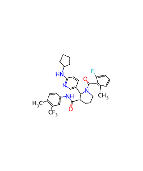 Cc1ccc(NC(=O)C2CCCN(C(=O)c3c(C)cccc3F)C2c2ccc(NC3CCCC3)nc2)cc1C(F)(F)F